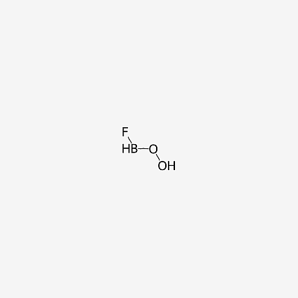 OOBF